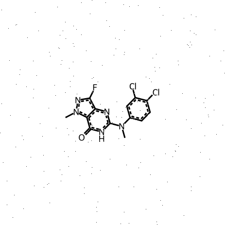 CN(c1ccc(Cl)c(Cl)c1)c1nc2c(F)nn(C)c2c(=O)[nH]1